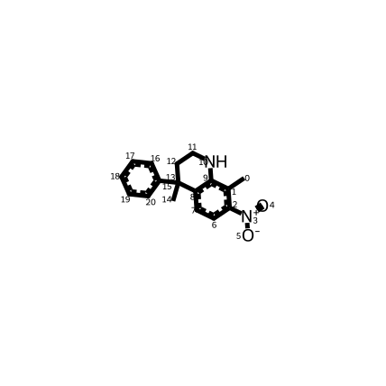 Cc1c([N+](=O)[O-])ccc2c1NCCC2(C)c1ccccc1